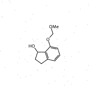 COCOc1cccc2c1C(O)CC2